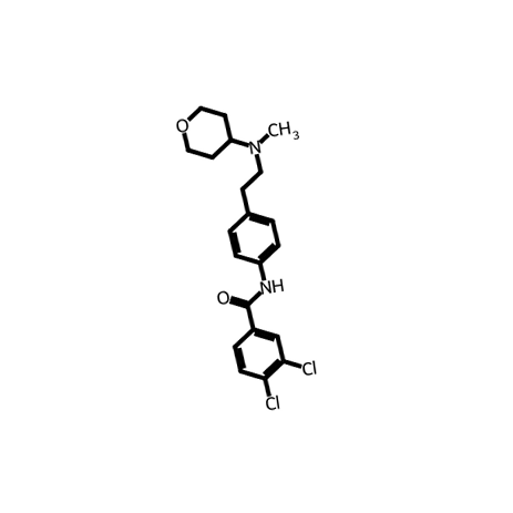 CN(CCc1ccc(NC(=O)c2ccc(Cl)c(Cl)c2)cc1)C1CCOCC1